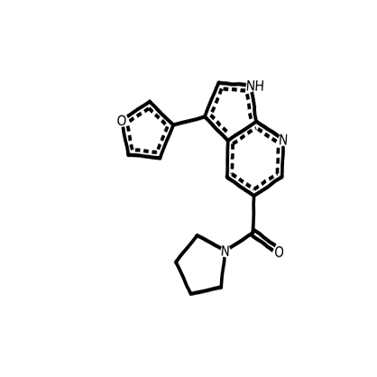 O=C(c1cnc2[nH]cc(-c3ccoc3)c2c1)N1CCCC1